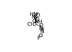 CC(=O)Nc1ncc(S(=O)(=O)Nc2cc(Cl)ccc2C=CC(=O)N2CCN(Cc3ccc(F)cc3)C[C@H]2C)s1